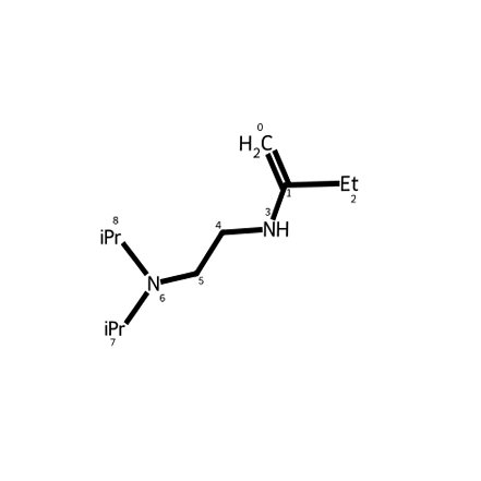 C=C(CC)NCCN(C(C)C)C(C)C